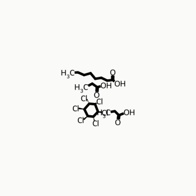 CCC(=O)O.CCC(=O)O.CCCCCCCC(=O)O.Cl[C@H]1[C@H](Cl)[C@@H](Cl)[C@@H](Cl)[C@H](Cl)[C@H]1Cl